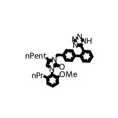 CCCCCc1cn(-c2c(CCC)cccc2OC)c(=O)n1Cc1ccc(-c2ccccc2-c2nnn[nH]2)cc1